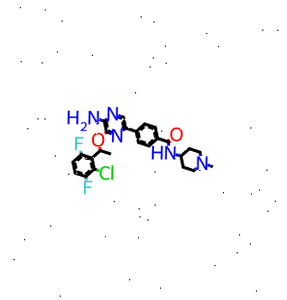 CC(Oc1nc(-c2ccc(C(=O)NC3CCN(C)CC3)cc2)cnc1N)c1c(F)ccc(F)c1Cl